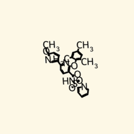 COc1ccc(-c2ccc(C(=O)NS(=O)(=O)c3ccccn3)c(Oc3c(C)cc(C)cc3C)n2)cn1